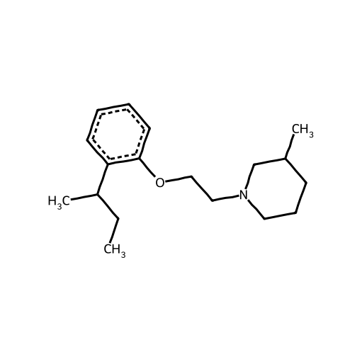 CCC(C)c1ccccc1OCCN1CCCC(C)C1